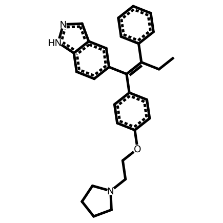 CCC(=C(c1ccc(OCCN2CCCC2)cc1)c1ccc2[nH]ncc2c1)c1ccccc1